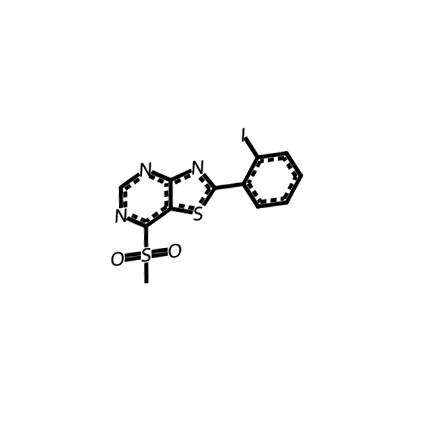 CS(=O)(=O)c1ncnc2nc(-c3ccccc3I)sc12